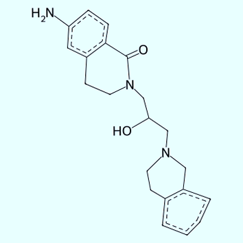 Nc1ccc2c(c1)CCN(CC(O)CN1CCc3ccccc3C1)C2=O